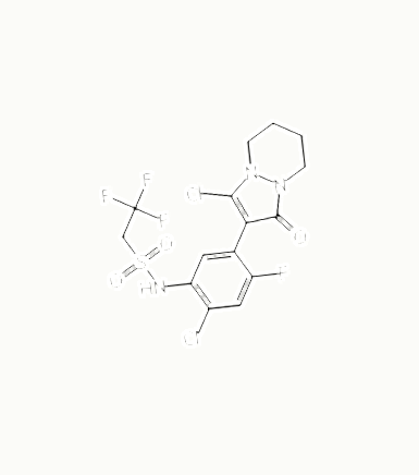 O=c1c(-c2cc(NS(=O)(=O)CC(F)(F)F)c(Cl)cc2F)c(Cl)n2n1CCCC2